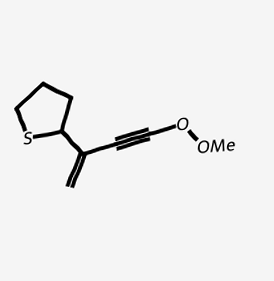 C=C(C#COOC)C1CCCS1